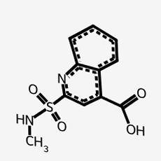 CNS(=O)(=O)c1cc(C(=O)O)c2ccccc2n1